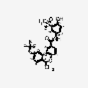 CC(Oc1ccc(C(=O)Nc2ccc(O)c(S(C)(=O)=O)c2)cc1)c1ccc(SC(F)(F)F)cc1